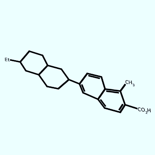 CCC1CCC2CC(c3ccc4c(C)c(C(=O)O)ccc4c3)CCC2C1